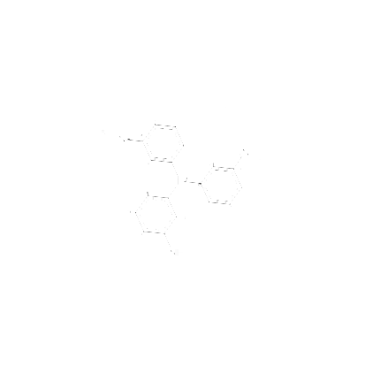 Cl.Cl.Cl.Nc1cccc(P(c2cccc(N)c2)c2cccc(N)c2)c1